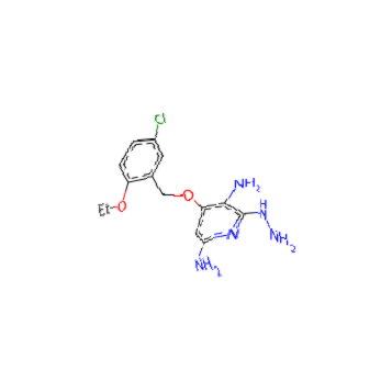 CCOc1ccc(Cl)cc1COc1cc(N)nc(NN)c1N